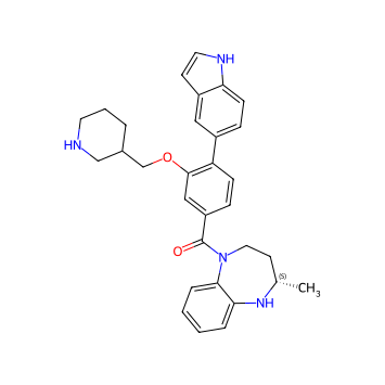 C[C@H]1CCN(C(=O)c2ccc(-c3ccc4[nH]ccc4c3)c(OCC3CCCNC3)c2)c2ccccc2N1